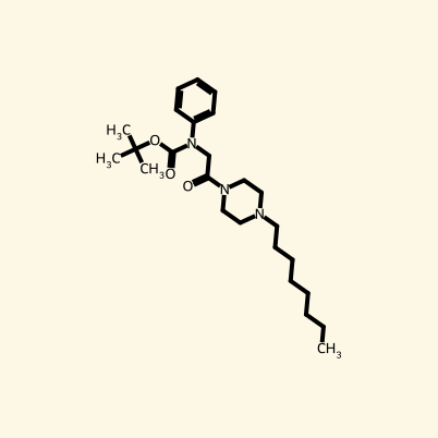 CCCCCCCCN1CCN(C(=O)CN(C(=O)OC(C)(C)C)c2ccccc2)CC1